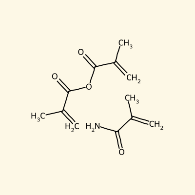 C=C(C)C(=O)OC(=O)C(=C)C.C=C(C)C(N)=O